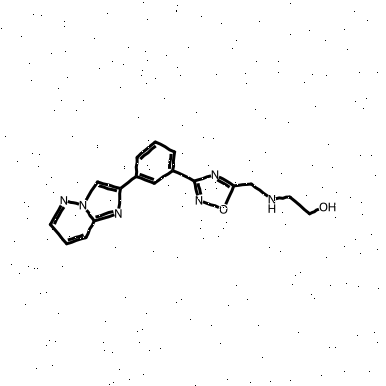 OCCNCc1nc(-c2cccc(-c3cn4ncccc4n3)c2)no1